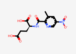 Cc1cc([N+](=O)[O-])cnc1C(=O)N[C@@H](CCC(=O)O)C(=O)O